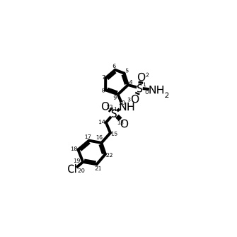 NS(=O)(=O)c1ccccc1NS(=O)(=O)CCc1ccc(Cl)cc1